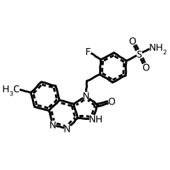 Cc1ccc2c(c1)nnc1[nH]c(=O)n(Cc3ccc(S(N)(=O)=O)cc3F)c12